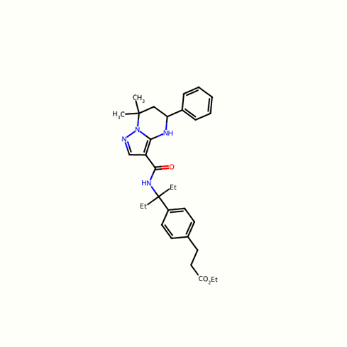 CCOC(=O)CCc1ccc(C(CC)(CC)NC(=O)c2cnn3c2NC(c2ccccc2)CC3(C)C)cc1